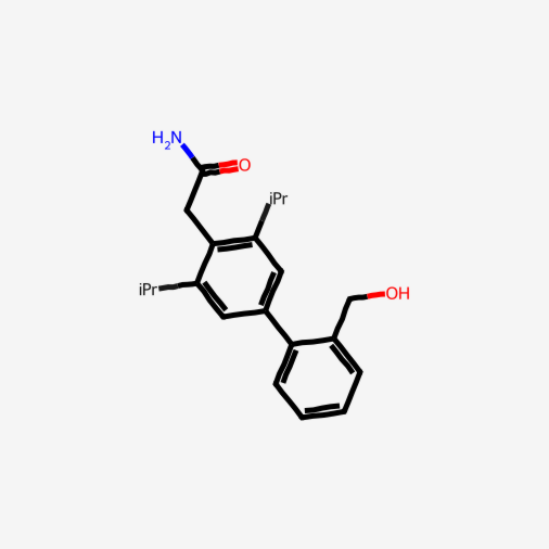 CC(C)c1cc(-c2ccccc2CO)cc(C(C)C)c1CC(N)=O